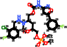 CCOP(=O)(OCC)OCC(O)CC(COC(=O)Nc1cc(-c2cccc(F)c2)on1)N(NCc1cccc(F)c1Cl)C(C)=O